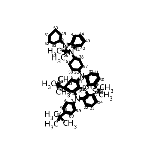 CC(C)(C)c1ccc(N2c3cc(C(C)(C)C)cc4c3B3c5c2cccc5[Si](C)(C)c2cccc(c23)N4C2CCC(N3c4ccccc4N(C4CCCCC4)C3(C)C)CC2)cc1